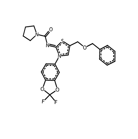 O=C(/N=c1\sc(COCc2ccccc2)cn1-c1ccc2c(c1)OC(F)(F)O2)N1CCCC1